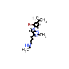 CCNCCCCc1nc(C)nc2c1CCN2c1ccc(C(C)C)cc1Br